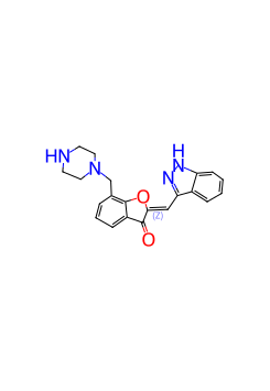 O=C1/C(=C/c2n[nH]c3ccccc23)Oc2c(CN3CCNCC3)cccc21